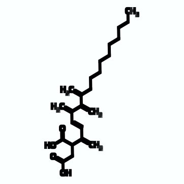 C=C(C=CC(=C)C(CC(=O)O)C(=O)O)C(=C)C(=C)CCCCCCCCCC